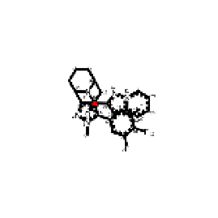 Cn1nc2c(c1-c1cc(F)c(F)c(F)c1)CC1CCCC2N1C(=O)c1cc2ccccn2n1